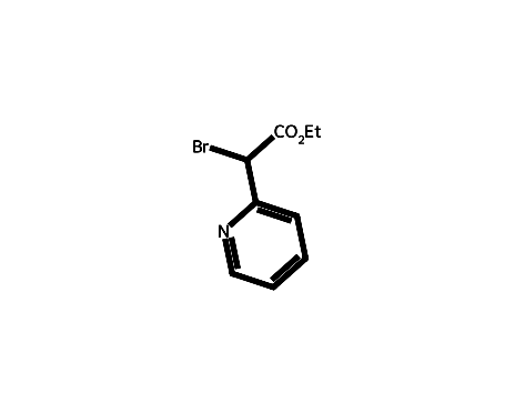 CCOC(=O)C(Br)c1ccccn1